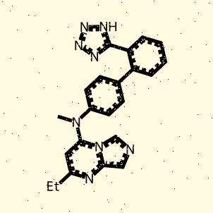 CCc1cc(N(C)c2ccc(-c3ccccc3-c3nnn[nH]3)cc2)n2cncc2n1